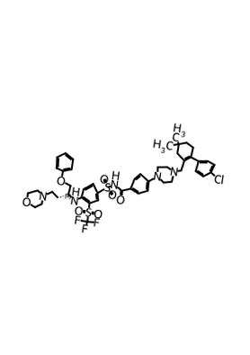 CC1(C)CCC(c2ccc(Cl)cc2)=C(CN2CCN(c3ccc(C(=O)NS(=O)(=O)c4ccc(N[C@H](CCN5CCOCC5)COc5ccccc5)c(S(=O)(=O)C(F)(F)F)c4)cc3)CC2)C1